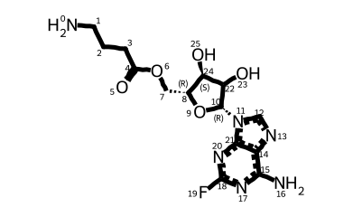 NCCCC(=O)OC[C@H]1O[C@@H](n2cnc3c(N)nc(F)nc32)C(O)[C@@H]1O